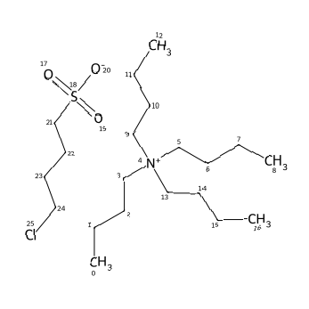 CCCC[N+](CCCC)(CCCC)CCCC.O=S(=O)([O-])CCCCCl